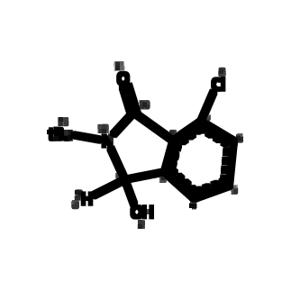 [2H]C1(O)c2cccc(Cl)c2C(=O)N1C(C)(C)C